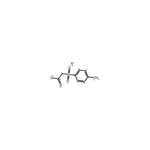 Cc1ccc(S(=O)(=O)CC(=O)[O-])cc1.[K+]